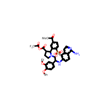 CCOc1cc(C(Nc2ccc3c(N)nccc3c2)C(=O)N2CCC(C(=O)OC(=O)C(F)(F)F)C2c2cc(C(=O)OC)ccc2S(=O)(=O)C(C)C)ccc1OC(C)C